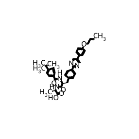 CCCCOc1ccc(-c2cnc(-c3ccc(C[C@H](NC(=O)c4ccc(C(C)(C)C)cc4)C(=O)N[C@H](C)C(=O)O)cc3)nc2)cc1